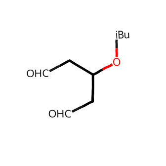 CCC(C)OC(CC=O)CC=O